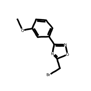 COc1cccc(-c2noc(CBr)n2)c1